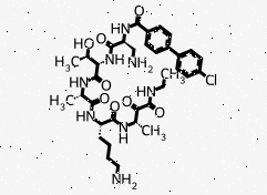 CCNC(=O)C(=O)[C@H](C)NC(=O)[C@H](CCCCN)NC(=O)[C@H](C)NC(=O)[C@@H](NC(=O)[C@H](CN)NC(=O)c1ccc(-c2ccc(Cl)cc2)cc1)[C@@H](C)O